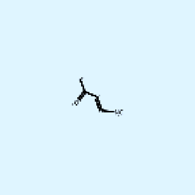 CC(=O)/C=C/N=O